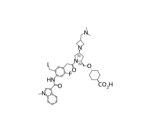 CN(C)CC1CN([C@H]2C[C@@H](CO[C@H]3CC[C@H](C(=O)O)CC3)N(C(=O)Cc3cc(CI)c(NC(=O)c4cn(C)c5ccccc45)cc3F)C2)C1